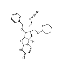 [N-]=[N+]=NCC[C@]1(COC2CCCCO2)O[C@@H]2C(OC3NC(=O)C=CN32)[C@H]1OCc1ccccc1